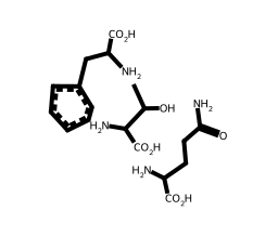 CC(O)C(N)C(=O)O.NC(=O)CCC(N)C(=O)O.NC(Cc1ccccc1)C(=O)O